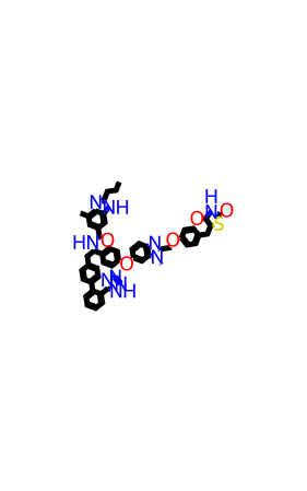 CCCc1nc2c(C)cc(C(=O)NC(Cc3ccc(-c4ccccc4-c4nnn[nH]4)cc3)c3ccc(Oc4ccc5nc(COc6ccc(CC7SC(=O)NC7=O)cc6)n(C)c5c4)cc3)cc2[nH]1